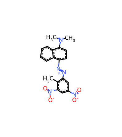 Cc1c(/N=N/c2ccc(N(C)C)c3ccccc23)cc([N+](=O)[O-])cc1[N+](=O)[O-]